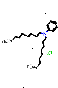 CCCCCCCCCCCCCCCCCN(CCCCCCCCCCCCCCCCC)c1ccccc1.Cl